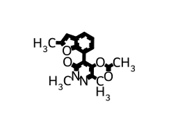 CC(=O)Oc1c(C)nn(C)c(=O)c1-c1cccc2cc(C)oc12